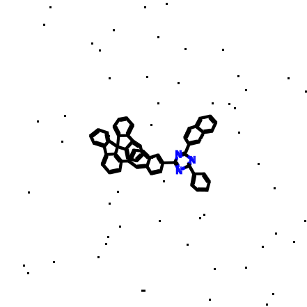 c1ccc(-c2nc(-c3ccc4ccccc4c3)nc(-c3ccc4cc(-c5cccc6c5C5(c7ccccc7-c7ccccc75)c5ccccc5-6)ccc4c3)n2)cc1